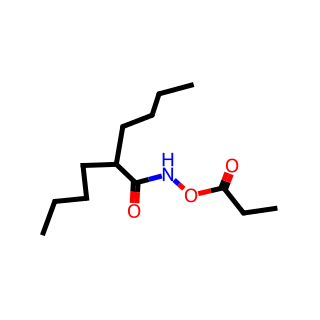 CCCCC(CCCC)C(=O)NOC(=O)CC